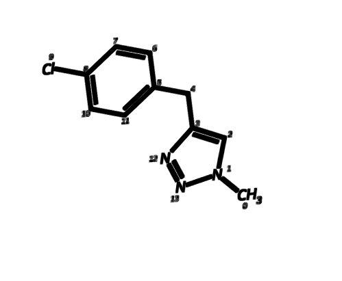 Cn1cc(Cc2ccc(Cl)cc2)nn1